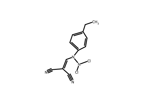 CCc1ccc(N(C=C(C#N)C#N)N(Cl)Cl)cc1